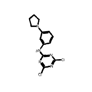 Clc1nc(Cl)nc(Nc2cccc(N3CCCC3)c2)n1